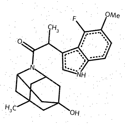 COc1ccc2[nH]cc(C(C)C(=O)N3C4CC5(C)CC3CC(O)(C4)C5)c2c1F